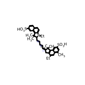 CCc1cc2c(C)cc(S(=O)(=O)O)cc2c2c1C/C(=C/C=C/C=C/C1N(CC)c3ccc4ccc(S(=O)(=O)O)cc4c3C1(C)C)C2(C)C